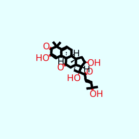 CC(C)(O)/C=C/C(=O)[C@@]1(O)C[C@]23CC(=O)[C@@]4(C)[C@@H]5C=C(O)C(=O)C(C)(C)C5=CC[C@H]4[C@]2(C)C[C@@H](O)[C@@H]31